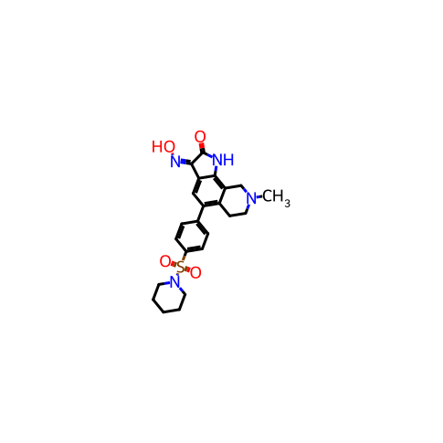 CN1CCc2c(-c3ccc(S(=O)(=O)N4CCCCC4)cc3)cc3c(c2C1)NC(=O)/C3=N\O